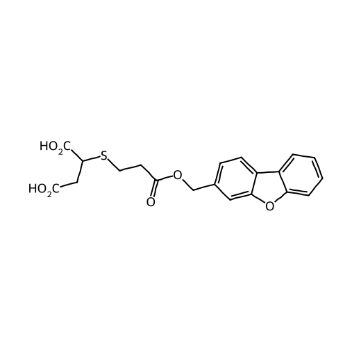 O=C(O)CC(SCCC(=O)OCc1ccc2c(c1)oc1ccccc12)C(=O)O